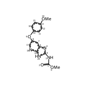 COC(=O)Nc1nc2cc(Oc3ccc(OC)cc3)cnc2[nH]1